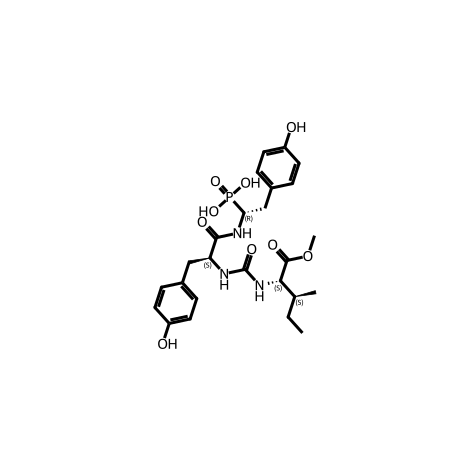 CC[C@H](C)[C@H](NC(=O)N[C@@H](Cc1ccc(O)cc1)C(=O)N[C@@H](Cc1ccc(O)cc1)P(=O)(O)O)C(=O)OC